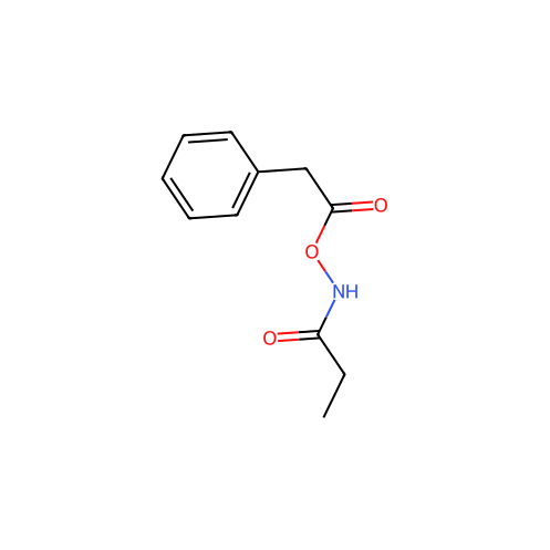 CCC(=O)NOC(=O)Cc1ccccc1